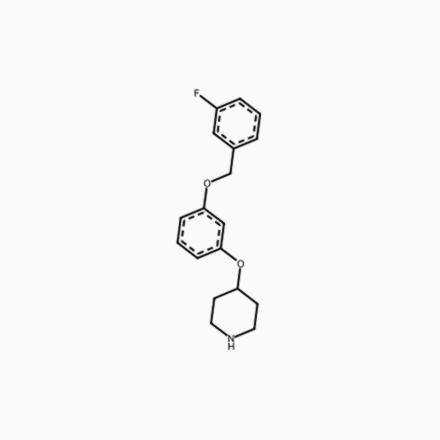 Fc1cccc(COc2cccc(OC3CCNCC3)c2)c1